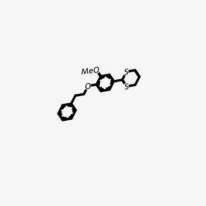 COc1cc(C2SCCCS2)ccc1OCCc1ccccc1